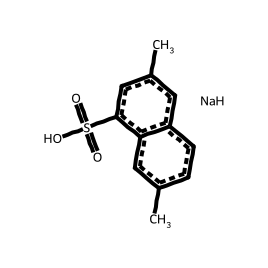 Cc1cc(S(=O)(=O)O)c2cc(C)ccc2c1.[NaH]